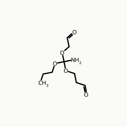 CCCOC(N)(OCC=O)OCCC=O